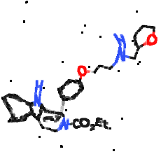 CCOC(=O)N1CCc2c([nH]c3ccccc23)[C@@H]1c1ccc(OCCCNCC2CCCO2)cc1